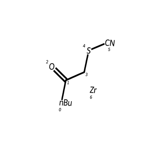 CCCCC(=O)CSC#N.[Zr]